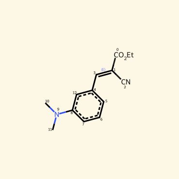 CCOC(=O)/C(C#N)=C/c1cccc(N(C)C)c1